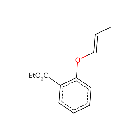 CC=COc1ccccc1C(=O)OCC